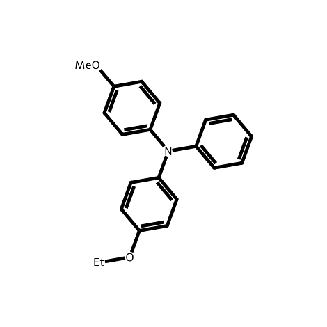 CCOc1ccc(N(c2ccccc2)c2ccc(OC)cc2)cc1